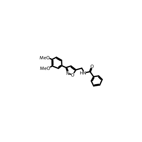 COc1ccc(-c2cc(CNC(=O)c3ccccc3)on2)cc1OC